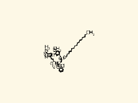 CCCCCCCCCCCCCCCCCCOC[C@H](COP(=O)(OC[C@H](CCc1ccc2c(N)ncnn12)OC#N)Oc1ccccc1Cl)OCc1ccc(OC)c(Cl)c1